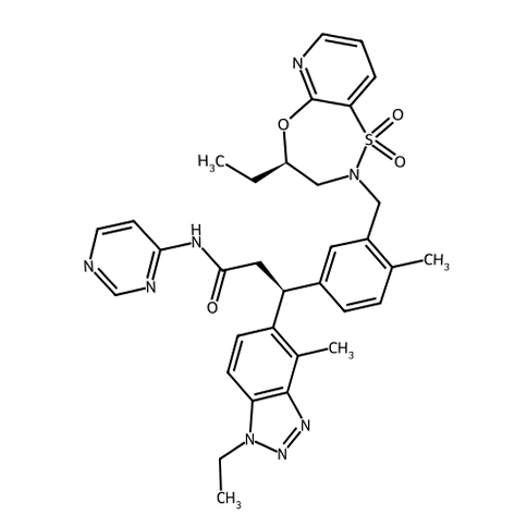 CC[C@@H]1CN(Cc2cc([C@H](CC(=O)Nc3ccncn3)c3ccc4c(nnn4CC)c3C)ccc2C)S(=O)(=O)c2cccnc2O1